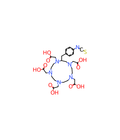 O=C(O)CN1CCN(CC(=O)O)CCN(CC(=O)O)CC(Cc2ccc(N=C=S)cc2)N(CC(=O)O)CCN(CC(=O)O)CC1